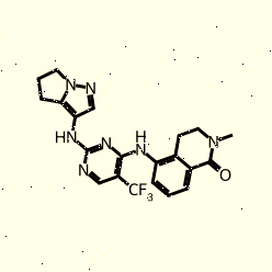 CN1CCc2c(Nc3nc(Nc4cnn5c4CCC5)ncc3C(F)(F)F)cccc2C1=O